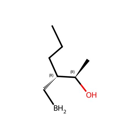 BC[C@H](CCC)[C@@H](C)O